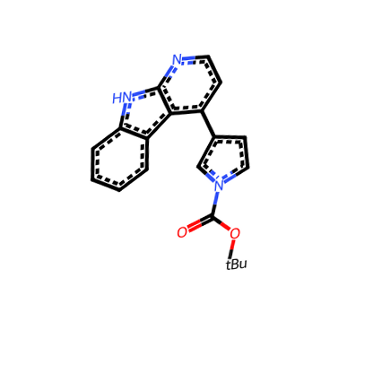 CC(C)(C)OC(=O)n1ccc(-c2ccnc3[nH]c4ccccc4c23)c1